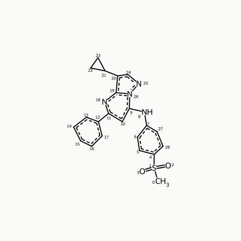 CS(=O)(=O)c1ccc(Nc2cc(-c3ccccc3)nc3c(C4CC4)cnn23)cc1